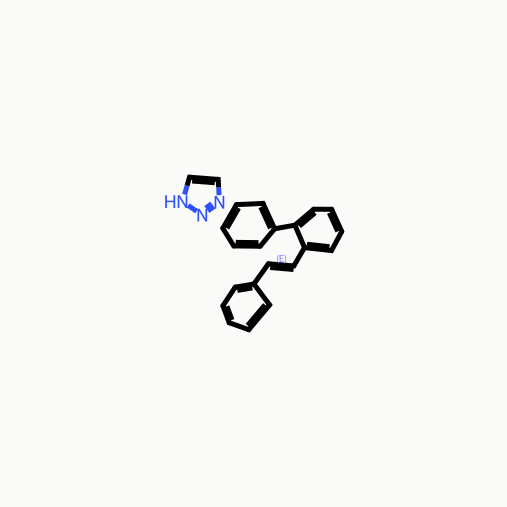 C(=C\c1ccccc1-c1ccccc1)/c1ccccc1.c1c[nH]nn1